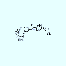 CC(C)(C#N)COc1cnc(/C(F)=C/c2ccc(F)c([C@]3(C)CS(=O)(=O)C(C)(C)C(N)=N3)c2)cn1